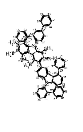 Bc1c(B)c(B)c2c(c1B)c1c(B)c(-c3ccc4c(c3)c3c(-c5ccccc5)cccc3n4-c3ccccc3-c3ccccc3)c(B)c(B)c1n2-c1ccc(-c2ccccc2)cc1-c1ccccc1